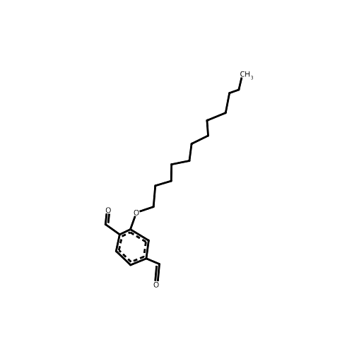 CCCCCCCCCCCCOc1cc(C=O)ccc1C=O